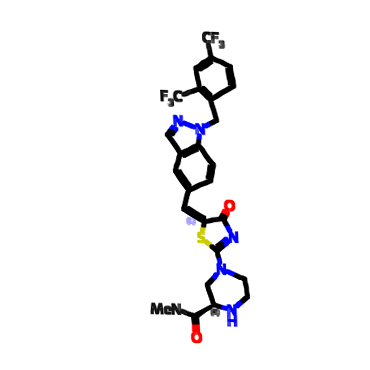 CNC(=O)[C@H]1CN(C2=NC(=O)/C(=C\c3ccc4c(cnn4Cc4ccc(C(F)(F)F)cc4C(F)(F)F)c3)S2)CCN1